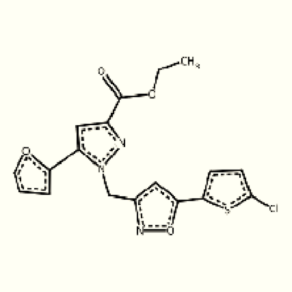 CCOC(=O)c1cc(-c2ccco2)n(Cc2cc(-c3ccc(Cl)s3)on2)n1